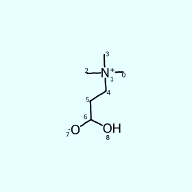 C[N+](C)(C)CCC([O])O